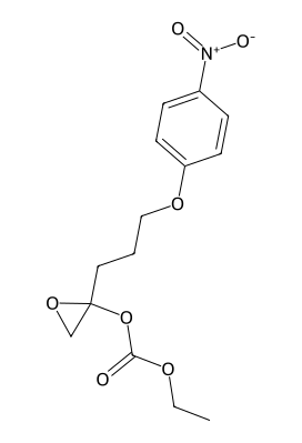 CCOC(=O)OC1(CCCOc2ccc([N+](=O)[O-])cc2)CO1